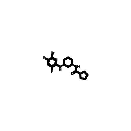 O=C(N[C@@H]1CCC[C@H](Nc2nc(Br)c(F)cc2F)C1)N1CCCC1